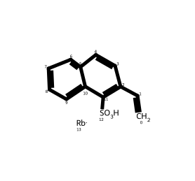 C=Cc1ccc2ccccc2c1S(=O)(=O)O.[Rb]